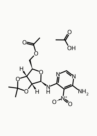 CC(=O)O.CC(=O)OC[C@H]1O[C@@H](Nc2ncnc(N)c2[N+](=O)[O-])[C@@H]2OC(C)(C)O[C@@H]21